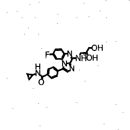 O=C(NC1CC1)c1ccc(-c2cnc3c(NC[C@@H](O)CO)nc4ccc(F)cc4n23)cc1